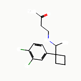 CCCC(NCCC(=O)OC)C1(c2ccc(Cl)c(Cl)c2)CCC1